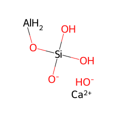 [Ca+2].[O-][Si](O)(O)[O][AlH2].[OH-]